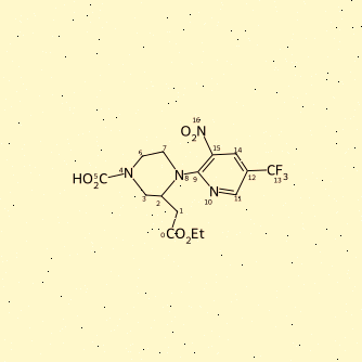 CCOC(=O)CC1CN(C(=O)O)CCN1c1ncc(C(F)(F)F)cc1[N+](=O)[O-]